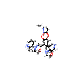 CC(C)(C)c1ccc2c(n1)OCC(CC(C)(CC1CN(c3cccnc3C(C)(C)C)CCO1)c1cncc3c1NCCO3)O2